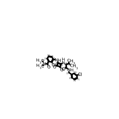 CC(C)[C@@H](Nc1c(Nc2cccc(C(=O)N(C)C)c2O)c(=O)c1=O)C(=O)NCc1cccc(Cl)c1